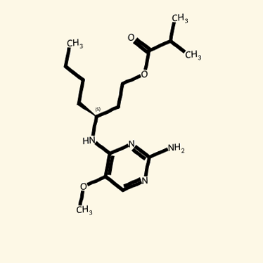 CCCC[C@@H](CCOC(=O)C(C)C)Nc1nc(N)ncc1OC